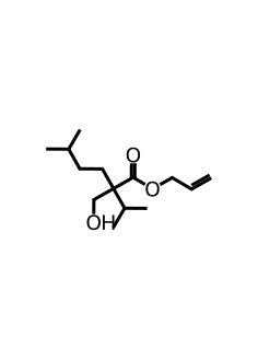 C=CCOC(=O)C(CO)(CCC(C)C)C(C)C